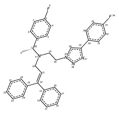 C[C@H](c1ccc(F)cc1)N(CC=C(c1ccccc1)c1ccccc1)CCn1cc(-c2ccc(F)cc2)nn1